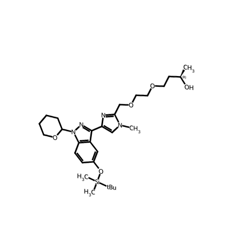 C[C@@H](O)CCOCCOCc1nc(-c2nn(C3CCCCO3)c3ccc(O[Si](C)(C)C(C)(C)C)cc23)cn1C